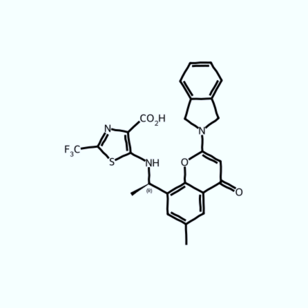 Cc1cc([C@@H](C)Nc2sc(C(F)(F)F)nc2C(=O)O)c2oc(N3Cc4ccccc4C3)cc(=O)c2c1